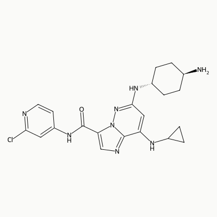 N[C@H]1CC[C@H](Nc2cc(NC3CC3)c3ncc(C(=O)Nc4ccnc(Cl)c4)n3n2)CC1